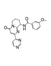 COc1cccc(C(=O)NC2CCCn3c2nc(-c2ccncn2)cc3=O)c1